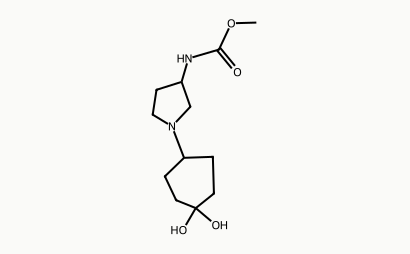 COC(=O)NC1CCN(C2CCC(O)(O)CC2)C1